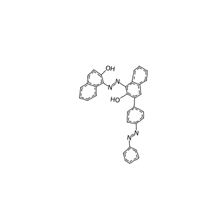 Oc1ccc2ccccc2c1N=Nc1c(O)c(-c2ccc(N=Nc3ccccc3)cc2)cc2ccccc12